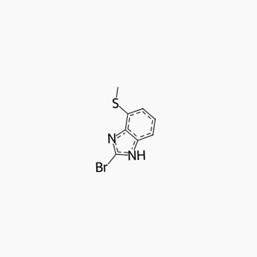 CSc1cccc2[nH]c(Br)nc12